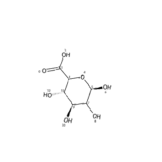 O=C(O)C1O[C@@H](O)C(O)[C@@H](O)[C@@H]1O